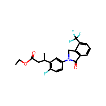 CCOC(=O)CC(C)c1cc(N2Cc3c(cccc3C(F)(F)F)C2=O)ccc1F